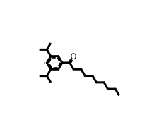 CCCCCCCCCC(=O)c1cc(C(C)C)[c]c(C(C)C)c1